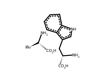 CC[C@H](C)[C@H](N)C(=O)O.N[C@@H](Cc1c[nH]c2ccccc12)C(=O)O